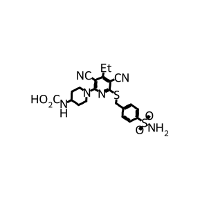 CCc1c(C#N)c(SCc2ccc(S(N)(=O)=O)cc2)nc(N2CCC(NC(=O)O)CC2)c1C#N